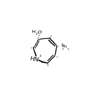 B.C1=CC=CNC=C1.O